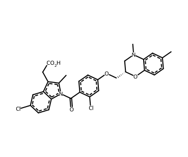 Cc1ccc2c(c1)N(C)C[C@@H](COc1ccc(C(=O)n3c(C)c(CC(=O)O)c4cc(Cl)ccc43)c(Cl)c1)O2